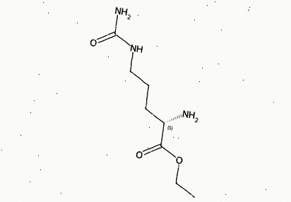 CCOC(=O)[C@@H](N)CCCNC(N)=O